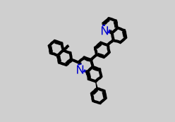 CC12C=CC=CC1=CC=C(c1cc(C3=CCC(C4CC=Cc5cccnc54)C=C3)c3c(n1)=C[C@H](C1=CCCC=C1)CC=3)C2